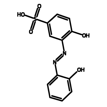 O=S(=O)(O)c1ccc(O)c(N=Nc2ccccc2O)c1